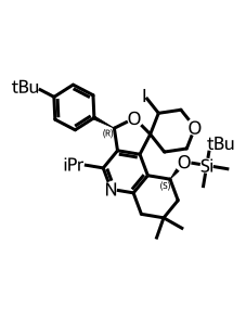 CC(C)c1nc2c(c3c1[C@@H](c1ccc(C(C)(C)C)cc1)OC31CCOCC1I)[C@@H](O[Si](C)(C)C(C)(C)C)CC(C)(C)C2